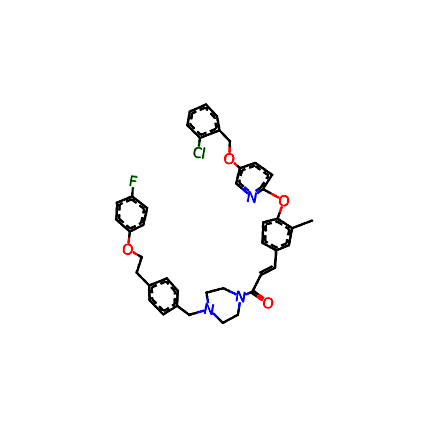 Cc1cc(/C=C/C(=O)N2CCN(Cc3ccc(CCOc4ccc(F)cc4)cc3)CC2)ccc1Oc1ccc(OCc2ccccc2Cl)cn1